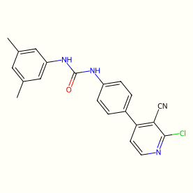 Cc1cc(C)cc(NC(=O)Nc2ccc(-c3ccnc(Cl)c3C#N)cc2)c1